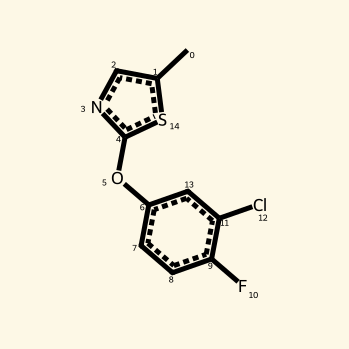 Cc1cnc(Oc2ccc(F)c(Cl)c2)s1